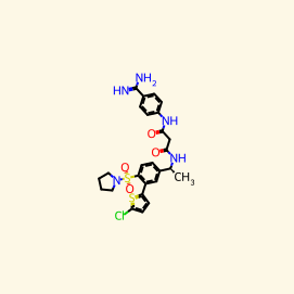 C[C@H](NC(=O)CC(=O)Nc1ccc(C(=N)N)cc1)c1ccc(S(=O)(=O)N2CCCC2)c(-c2ccc(Cl)s2)c1